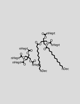 CCCCCCCC(=O)OCC(COC(=O)CCCCCCC)(COC(=O)CCCCCCC)COC(=O)CCCCCCC.CCCCCCCCCCCCCCCCCCCCCC(=O)OCC(COC(=O)CCCCCCC)(COC(=O)CCCCCCC)COC(=O)CCCCCCCCCCCCCCCCCCCCC